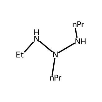 CCCNN(CCC)NCC